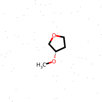 CO[C@H]1CCOC1